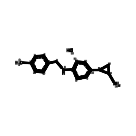 Cc1ccc(CNc2ccc(C3CC3N)cn2)cc1.Cl